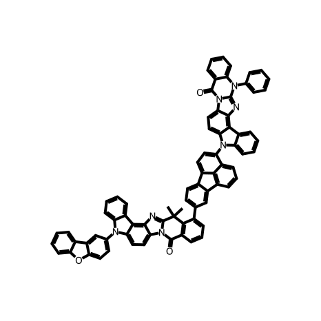 CC1(C)c2c(cccc2-c2ccc3c(c2)-c2cccc4c(-n5c6ccccc6c6c7nc8n(-c9ccccc9)c9ccccc9c(=O)n8c7ccc65)ccc-3c24)C(=O)n2c1nc1c3c4ccccc4n(-c4ccc5oc6ccccc6c5c4)c3ccc12